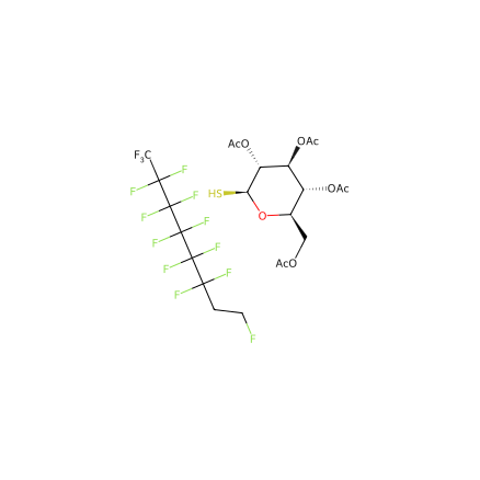 CC(=O)OC[C@H]1O[C@@H](S)[C@H](OC(C)=O)[C@@H](OC(C)=O)[C@@H]1OC(C)=O.FCCC(F)(F)C(F)(F)C(F)(F)C(F)(F)C(F)(F)C(F)(F)F